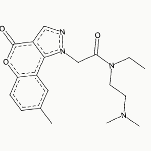 CCN(CCN(C)C)C(=O)Cn1ncc2c(=O)oc3ccc(C)cc3c21